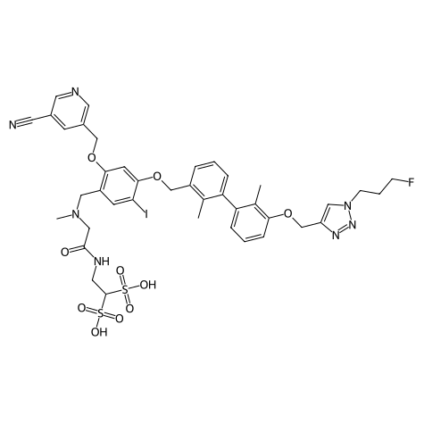 Cc1c(COc2cc(OCc3cncc(C#N)c3)c(CN(C)CC(=O)NCC(S(=O)(=O)O)S(=O)(=O)O)cc2I)cccc1-c1cccc(OCc2cn(CCCF)nn2)c1C